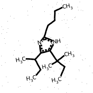 CCCCc1nc(C(C)CC)c(C(C)(C)CC)[nH]1